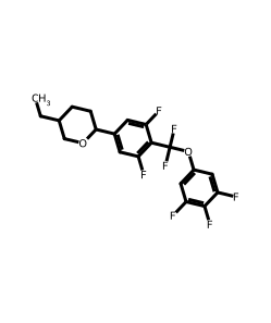 CCC1CCC(c2cc(F)c(C(F)(F)Oc3cc(F)c(F)c(F)c3)c(F)c2)OC1